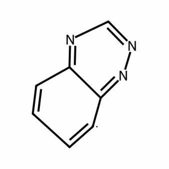 [c]1cccc2ncnnc12